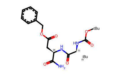 CC[C@H](C)[C@H](NC(=O)OC(C)(C)C)C(=O)N[C@H](CC(=O)OCc1ccccc1)C(N)=O